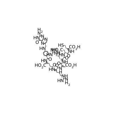 N=C(N)NCCC[C@@H](NC(=O)CC[C@@H](NC(=O)c1ccc(NCc2cnc3nc(N)[nH]c(=O)c3n2)cc1)C(=O)O)C(=O)N[C@H](CC(=O)O)C(=O)N[C@H](CCCNC(=N)N)C(=O)NC(CC(=O)O)C(=O)N[C@H](CCS)C(=O)O